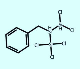 Cl[SiH](Cl)[SiH](Cc1ccccc1)[Si](Cl)(Cl)Cl